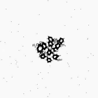 CC1c2cc3c4c(oc3cc2C2(C)CCCC1C2)N(C1C=CC(C(C)(C)C)=CC1)c1cc(N(c2ccccc2)c2ccccc2)cc2c1B4c1cc3c(cc1N2c1ccc2c(c1)C(C)(C)CCC2(C)C)CCCC3(C)C